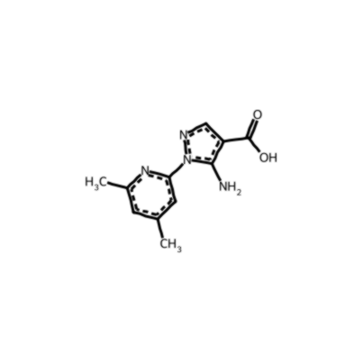 Cc1cc(C)nc(-n2ncc(C(=O)O)c2N)c1